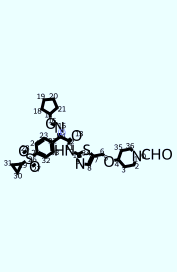 O=CN1CCC(OCc2cnc(NC(=O)/C(=N/OC3CCCC3)c3ccc(S(=O)(=O)C4CC4)cc3)s2)CC1